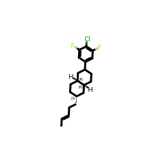 CC=CCC[C@@H]1CC[C@@H]2CC(c3cc(F)c(Cl)c(F)c3)CC[C@@H]2C1